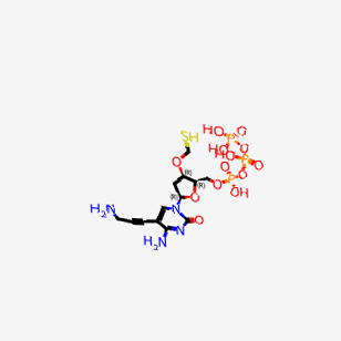 NCC#Cc1cn([C@H]2C[C@@H](OCS)[C@@H](COP(=O)(O)OP(=O)(O)OP(=O)(O)O)O2)c(=O)nc1N